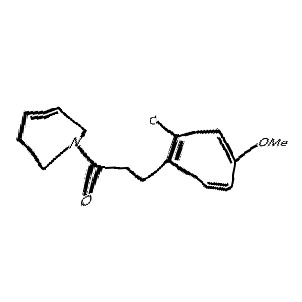 COc1ccc(CCC(=O)N2CC=CCC2)c(Cl)c1